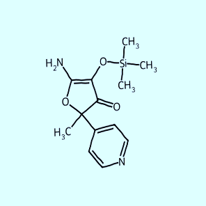 CC1(c2ccncc2)OC(N)=C(O[Si](C)(C)C)C1=O